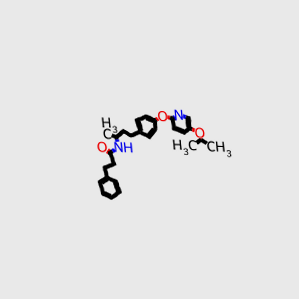 CC(CCc1ccc(Oc2ccc(OC(C)C)cn2)cc1)NC(=O)CCc1ccccc1